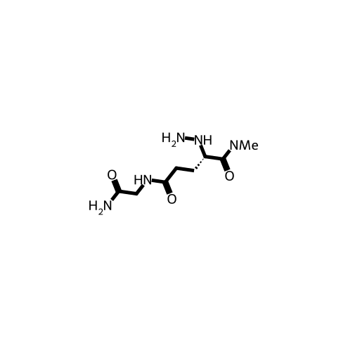 CNC(=O)[C@H](CCC(=O)NCC(N)=O)NN